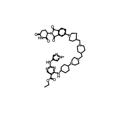 CCOC(=O)c1cnc(Nc2cnn(C)c2)nc1NC1CCC(N2CCN(CC3CCN(CC4CCN(c5ccc6c(c5)C(=O)N(C5CCC(=O)NC5=O)C6=O)CC4)CC3)CC2)CC1